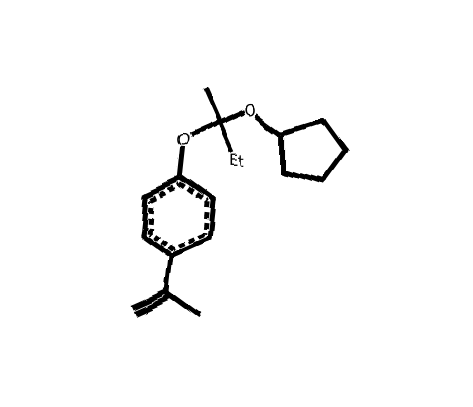 C=C(C)c1ccc(OC(C)(CC)OC2CCCC2)cc1